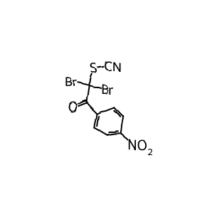 N#CSC(Br)(Br)C(=O)c1ccc([N+](=O)[O-])cc1